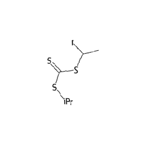 CC(C)SC(=S)SC(C)I